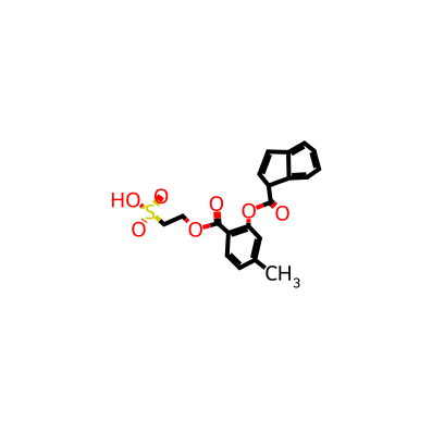 Cc1ccc(C(=O)OCCS(=O)(=O)O)c(OC(=O)C2C=Cc3ccccc32)c1